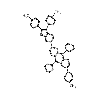 Cc1ccc(-c2ccc3c(-c4ccccc4)c4cc(-c5ccc6c(-c7ccc(C)cc7)c(-c7ccc(C)cc7)sc6c5)ccc4c(-c4ccccc4)c3c2)cc1